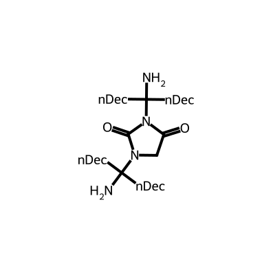 CCCCCCCCCCC(N)(CCCCCCCCCC)N1CC(=O)N(C(N)(CCCCCCCCCC)CCCCCCCCCC)C1=O